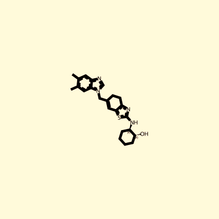 Cc1cc2ncn(CC3=Cc4sc(N[C@@H]5CCCC[C@H]5O)nc4CC3)c2cc1C